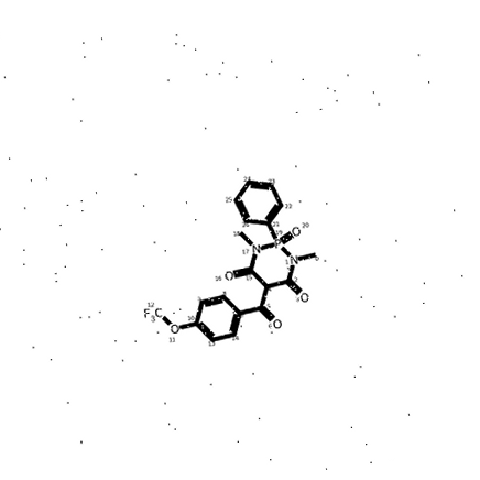 CN1C(=O)C(C(=O)c2ccc(OC(F)(F)F)cc2)C(=O)N(C)P1(=O)c1ccccc1